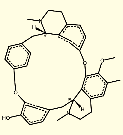 COc1c(C)cc2c3c1Oc1ccc4c(c1)[C@H](Cc1ccc(cc1)Oc1cc(ccc1O)C[C@H]3N(C)CC2)N(C)CC4